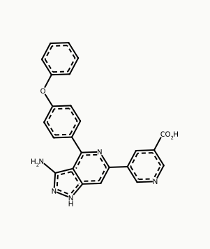 Nc1n[nH]c2cc(-c3cncc(C(=O)O)c3)nc(-c3ccc(Oc4ccccc4)cc3)c12